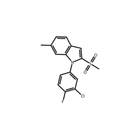 Cc1ccc2cc(S(C)(=O)=O)n(-c3ccc(F)c(Cl)c3)c2c1